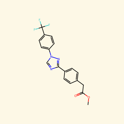 COC(=O)Cc1ccc(-c2ncn(-c3ccc(C(F)(F)F)cc3)n2)cc1